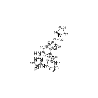 CN1C(C)(C)CC(Nc2nc(Nc3cc(F)c(OC(C)(C)CCN4CCCC4)c(F)c3)ncc2F)CC1(C)C